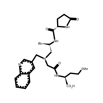 CC[C@H](C)[C@@H](CN(CC(=O)N[C@@H](CCSC)C(=O)O)Cc1cnc2ccccc2c1)NC(=O)[C@@H]1CCC(=O)N1